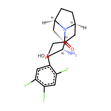 N[C@H](Cc1cc(F)c(F)cc1F)[C@@H]1C[C@H]2CC[C@@H](C1)N2C(=O)CS(=O)(=O)O